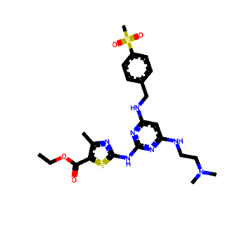 CCOC(=O)c1sc(Nc2nc(NCCN(C)C)cc(NCc3ccc(S(C)(=O)=O)cc3)n2)nc1C